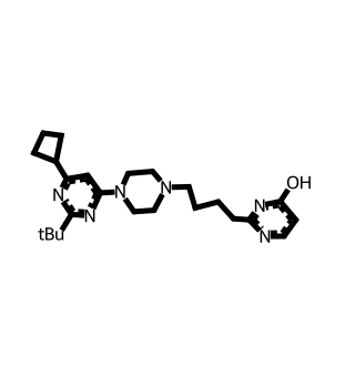 CC(C)(C)c1nc(C2CCC2)cc(N2CCN(CCCCc3nccc(O)n3)CC2)n1